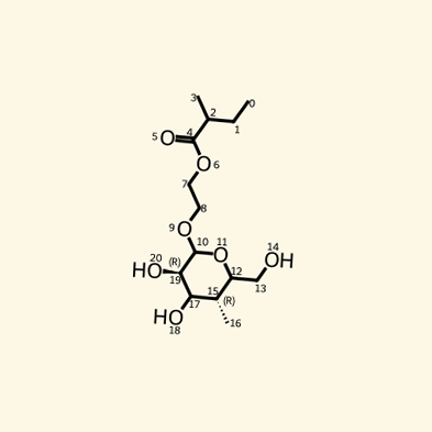 CCC(C)C(=O)OCCOC1OC(CO)[C@H](C)C(O)[C@H]1O